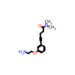 CN(C)C(=O)CCC#Cc1cccc(OCCN)c1